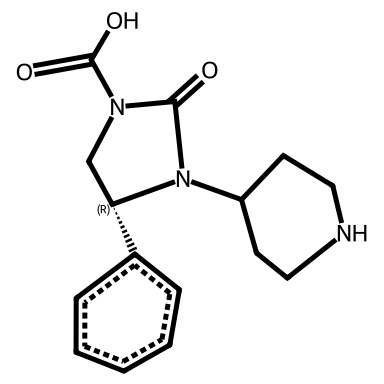 O=C(O)N1C[C@@H](c2ccccc2)N(C2CCNCC2)C1=O